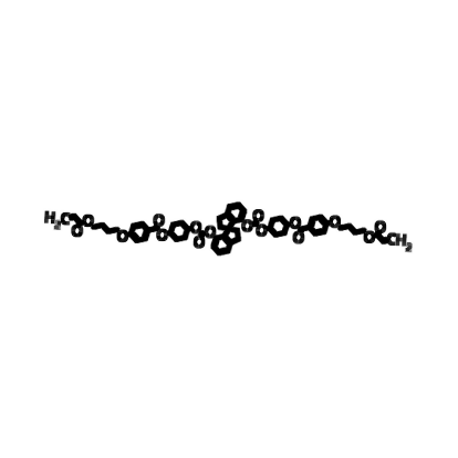 C=CC(=O)OCCCCOc1ccc(C(=O)OC2CCC(OC(=O)Oc3cccc4c3C3(CC4)CCc4cccc(OC(=O)OC5CCC(OC(=O)c6ccc(OCCCCOC(=O)C=C)cc6)CC5)c43)CC2)cc1